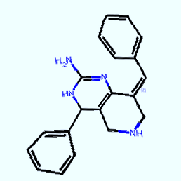 NC1=NC2=C(CNC/C2=C/c2ccccc2)C(c2ccccc2)N1